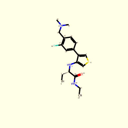 CC(C)C[C@H](Nc1cscc1-c1ccc(CN(C)C)c(F)c1)C(=O)NCC#N